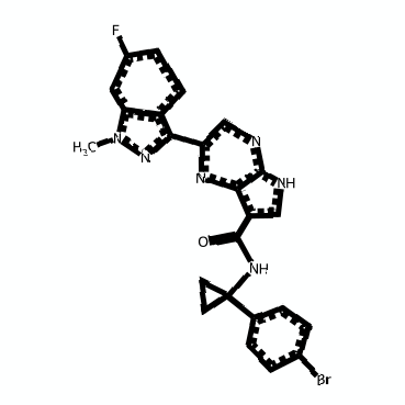 Cn1nc(-c2cnc3[nH]cc(C(=O)NC4(c5ccc(Br)cc5)CC4)c3n2)c2ccc(F)cc21